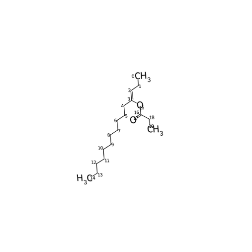 CCC=C(CCCCCCCCCCC)OC(=O)CC